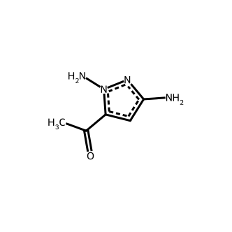 CC(=O)c1cc(N)nn1N